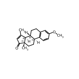 COc1ccc2c(c1)CC[C@@H]1[C@@H]2CC[C@]2(C)C(=O)C=C(C)[C@@H]12